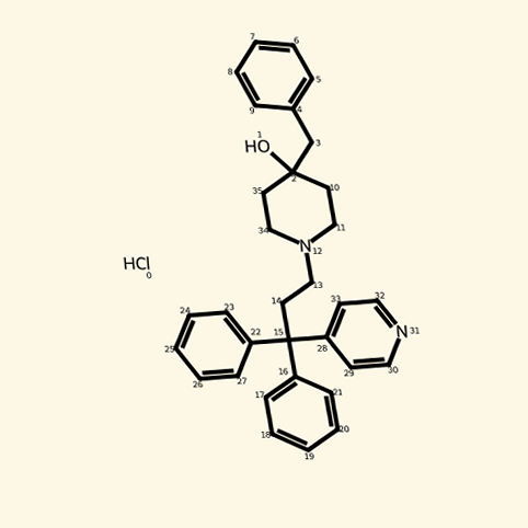 Cl.OC1(Cc2ccccc2)CCN(CCC(c2ccccc2)(c2ccccc2)c2ccncc2)CC1